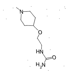 CN1CCC(OCCNC(N)=O)CC1